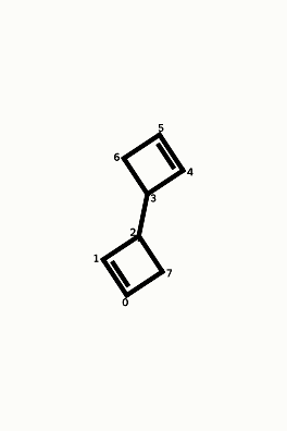 C1=C[C](C2C=CC2)C1